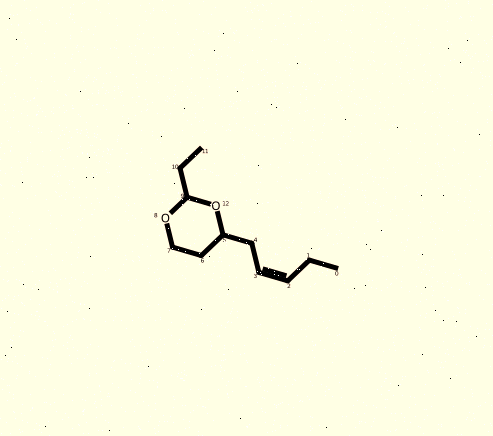 CC/C=C\CC1CCOC(CC)O1